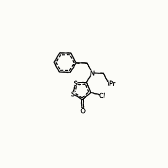 CC(C)CN(Cc1ccccc1)c1ssc(=O)c1Cl